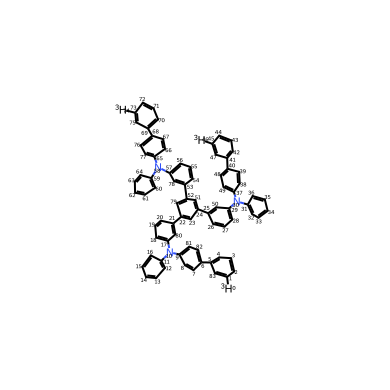 [3H]c1cccc(-c2ccc(N(c3ccccc3)c3cccc(-c4cc(-c5cccc(N(c6ccccc6)c6ccc(-c7cccc([3H])c7)cc6)c5)cc(-c5cccc(N(c6ccccc6)c6ccc(-c7cccc([3H])c7)cc6)c5)c4)c3)cc2)c1